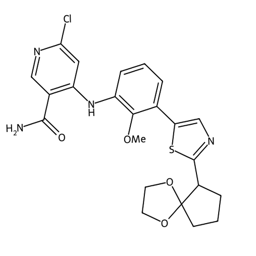 COc1c(Nc2cc(Cl)ncc2C(N)=O)cccc1-c1cnc(C2CCCC23OCCO3)s1